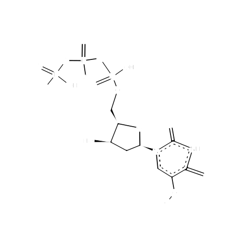 COc1cn([C@H]2C[C@@H](O)[C@@H](COP(=O)(O)OP(=O)(O)OP(=O)(O)O)O2)c(=O)[nH]c1=O